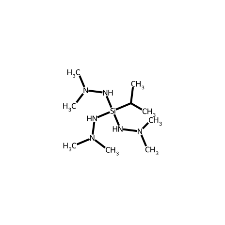 CC(C)[Si](NN(C)C)(NN(C)C)NN(C)C